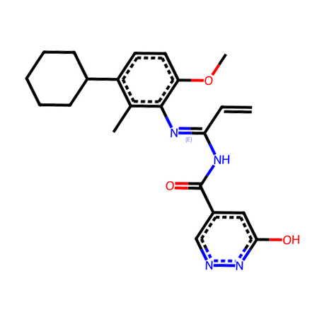 C=C/C(=N\c1c(OC)ccc(C2CCCCC2)c1C)NC(=O)c1cnnc(O)c1